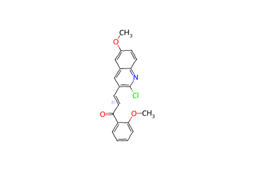 COc1ccc2nc(Cl)c(/C=C/C(=O)c3ccccc3OC)cc2c1